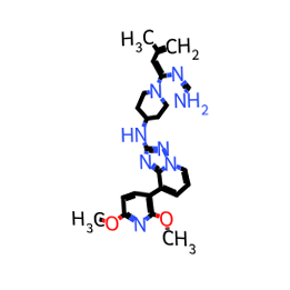 C=C(C)/C=C(\N=C/N)N1CCC(Nc2nc3c(-c4ccc(OC)nc4OC)cccn3n2)CC1